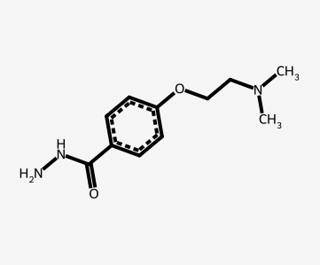 CN(C)CCOc1ccc(C(=O)NN)cc1